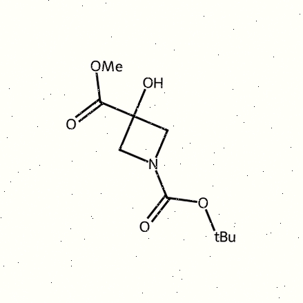 COC(=O)C1(O)CN(C(=O)OC(C)(C)C)C1